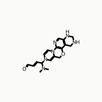 CN(C)C(C=CC=O)N1C=CN2C(=C1)COc1c2ncc2c1CNCN2